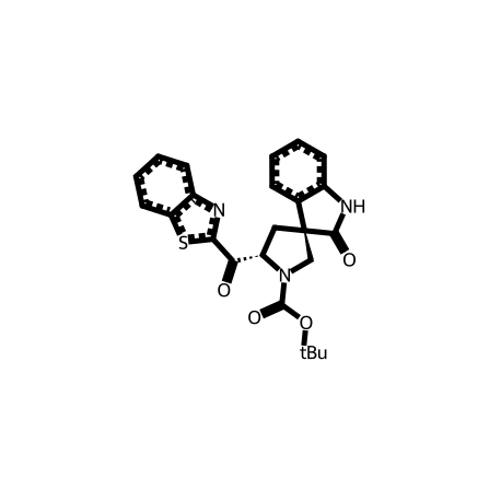 CC(C)(C)OC(=O)N1C[C@]2(C[C@H]1C(=O)c1nc3ccccc3s1)C(=O)Nc1ccccc12